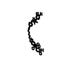 Cc1c(-c2ccc(C#N)c(Cl)c2)nn(Cc2ccc(C#CCCCCCN3Cc4cc5c(cc4C3)C(=O)N(C3CCC(=O)NC3=O)C5=O)cc2)c1C